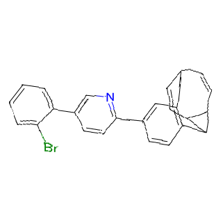 Brc1ccccc1-c1ccc(-c2ccc3c(c2)C2C=CC4C(C=C2)C34)nc1